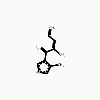 C=C/C=C(/C)C(=C)c1c[nH]cc1C